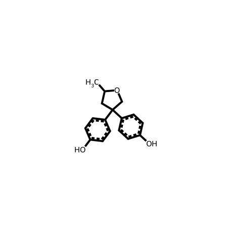 CC1CC(c2ccc(O)cc2)(c2ccc(O)cc2)CO1